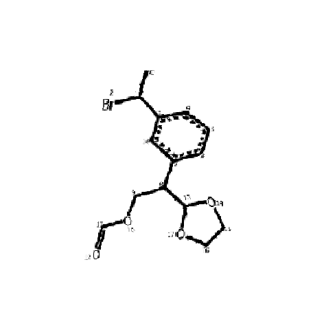 CC(Br)c1cccc(C(COC=O)C2OCCO2)c1